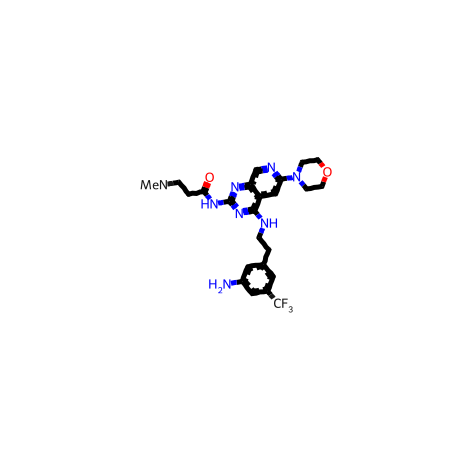 CNCCC(=O)Nc1nc(NCCc2cc(N)cc(C(F)(F)F)c2)c2cc(N3CCOCC3)ncc2n1